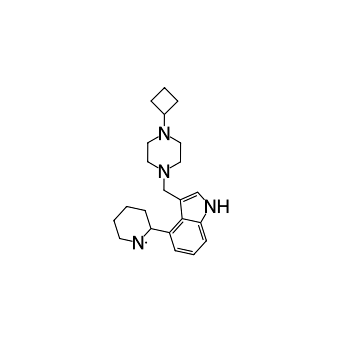 c1cc(C2CCCC[N]2)c2c(CN3CCN(C4CCC4)CC3)c[nH]c2c1